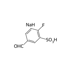 O=Cc1ccc(F)c(S(=O)(=O)O)c1.[NaH]